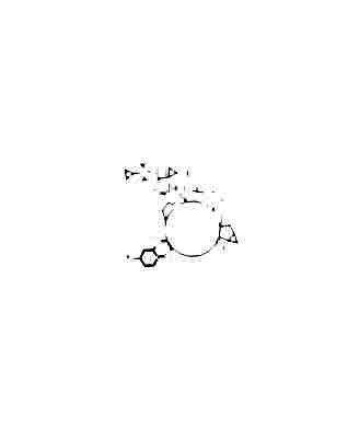 COc1ccc2nc3c(nc2c1)O[C@H]1CN(C(=O)[C@H](C(C)(C)C)NC(=O)O[C@@H]2CC4C[C@@H]4[C@H]2CCCCC3)[C@H](C(=O)N[C@]2(C(=O)NS(=O)(=O)C3CC3)C[C@H]2C(F)F)[C@@H]1C